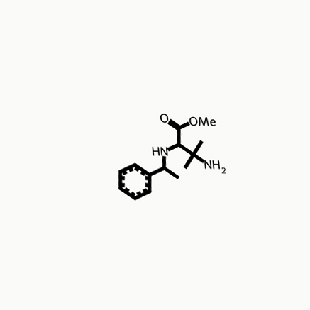 COC(=O)C(NC(C)c1ccccc1)C(C)(C)N